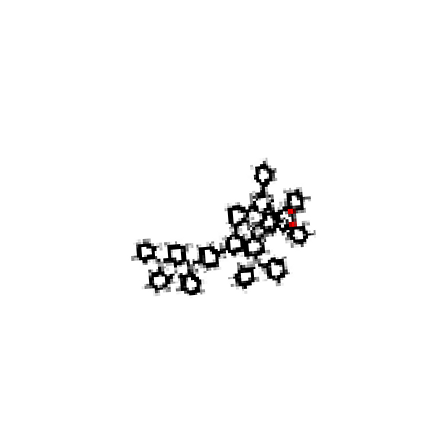 c1ccc(-c2nc(-c3ccccc3)nc(-c3cccc(-c4cccc(-c5ccc(N6c7ccccc7B7c8ccccc8N(c8ccccc8)c8cccc6c87)cc5)c4)c3-n3c4ccc(N(c5ccccc5)c5ccccc5)cc4c4cc(N(c5ccccc5)c5ccccc5)ccc43)n2)cc1